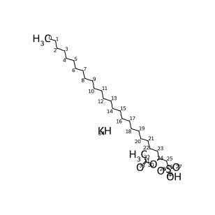 CCCCCCCCCCCCCCCCCCCCCCCCC(CS(=O)(=O)O)OC(C)=O.[KH]